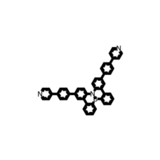 c1ccc2c(c1)B1c3ccccc3-c3cc(-c4ccc(-c5ccncc5)cc4)ccc3N1c1ccc(-c3ccc(-c4ccncc4)cc3)cc1-2